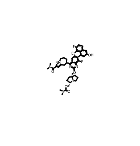 CCc1c(F)ccc2cc(O)cc(-c3ccc4c(C5CCCn6nc(C(=O)N(C)C)cc6C5)nc(OC[C@]56CCCN5[C@H](COC(=O)N(C)C)CC6)nc4c3F)c12